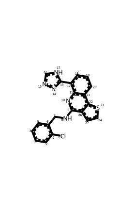 Clc1ccccc1CNc1nc2c(-c3nnc[nH]3)cccc2c2sccc12